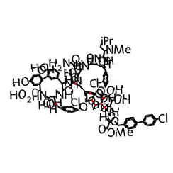 CN[C@H](CC(C)C)C(=O)NC1C(=O)N[C@@H](CC(N)=O)C(=O)N[C@H]2C(=O)NC3C(=O)N[C@H](C(=O)N[C@@H](C(=O)O)c4cc(O)cc(O)c4-c4cc3ccc4O)[C@H](O)c3ccc(c(Cl)c3)Oc3cc2cc(c3OC2OC(CO)C(O)C(O)C2O[C@H](C)OC(C)C(O)C(C)(C)NCC(OCc2ccc(-c3ccc(Cl)cc3)cc2)C(=O)OC)Oc2ccc(cc2Cl)[C@H]1O